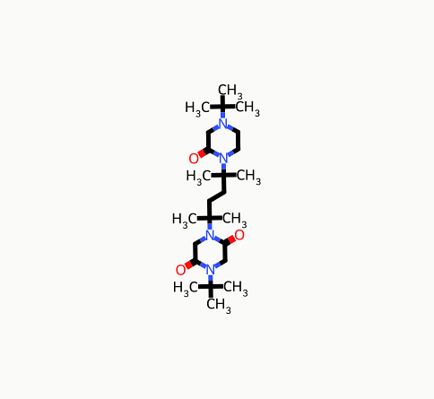 CC(C)(C)N1CCN(C(C)(C)CCC(C)(C)N2CC(=O)N(C(C)(C)C)CC2=O)C(=O)C1